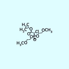 COCCOP(=O)(OCCOC)C(Cl)C(=O)OC(C)C